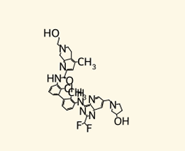 Cc1cc(C(=O)Nc2cccc(-c3cccc(Nc4nc(C(F)F)nc5cc(CN6CCC(O)C6)cnc45)c3C)c2Cl)nc2c1CCN(CCO)C2